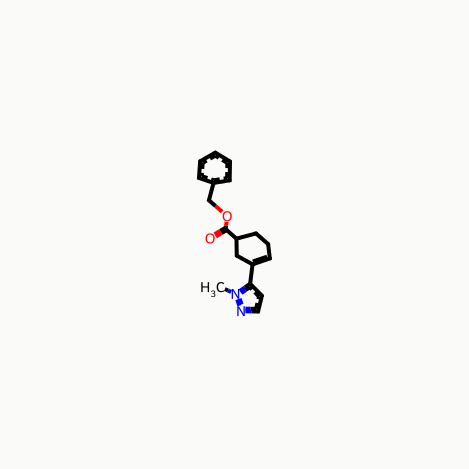 Cn1nccc1C1=CCCC(C(=O)OCc2ccccc2)C1